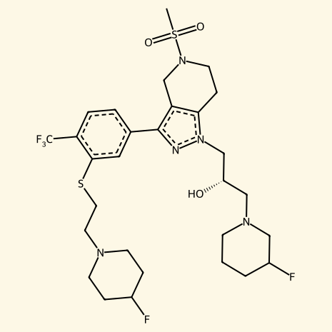 CS(=O)(=O)N1CCc2c(c(-c3ccc(C(F)(F)F)c(SCCN4CCC(F)CC4)c3)nn2C[C@@H](O)CN2CCCC(F)C2)C1